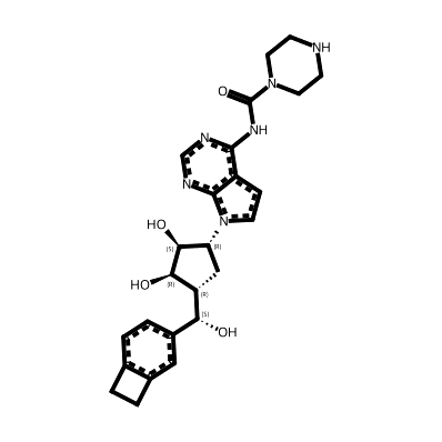 O=C(Nc1ncnc2c1ccn2[C@@H]1C[C@H]([C@H](O)c2ccc3c(c2)CC3)[C@@H](O)[C@H]1O)N1CCNCC1